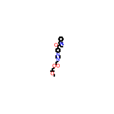 CCOC(C)(C)CCOC(=O)CCN1CCN(c2ccc(C(=O)C(CC)(Cc3ccccc3)N(C)C)cc2)CC1